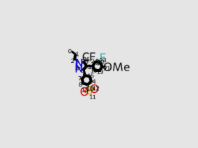 CC=Cn1nc(-c2ccc(S(C)(=O)=O)cc2)c(-c2ccc(OC)c(F)c2)c1C(F)(F)F